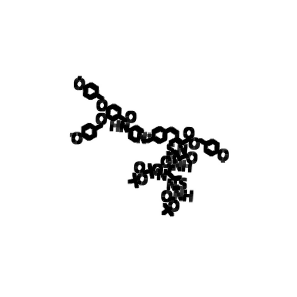 COc1ccc(COC(=O)C2=C(/C=C\c3ccc(C[n+]4ccc(NC(=O)c5ccc(OCc6ccc(OC)cc6)c(OCc6ccc(OC)cc6)c5)cc4)cc3)CS[C@@H]3[C@H](NC(=O)/C(=N\OC(C)(C)C(=O)OC(C)(C)C)c4csc(NC(=O)OC(C)(C)C)n4)C(=O)N23)cc1